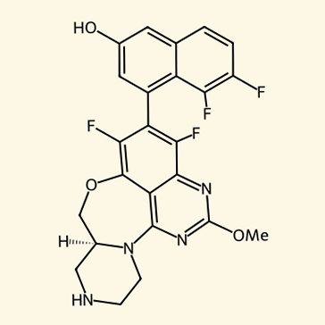 COc1nc2c3c(c(F)c(-c4cc(O)cc5ccc(F)c(F)c45)c(F)c3n1)OC[C@@H]1CNCCN21